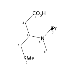 CSCC(CC(=O)O)N(C)C(C)C